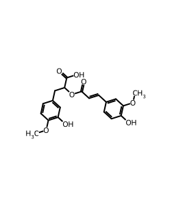 COc1ccc(CC(OC(=O)C=Cc2ccc(O)c(OC)c2)C(=O)O)cc1O